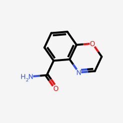 NC(=O)c1cccc2c1N=CCO2